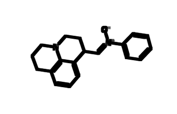 [O-][N+](=CC1CCN2CCCc3cccc1c32)c1ccccc1